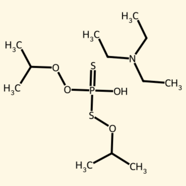 CC(C)OOP(O)(=S)SOC(C)C.CCN(CC)CC